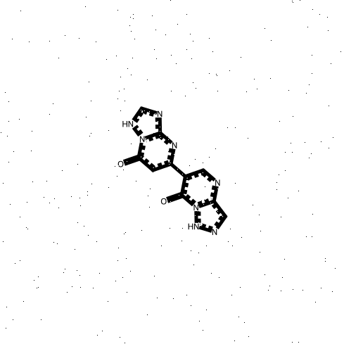 O=c1c(-c2[c]c(=O)n3[nH]cnc3n2)cnc2cn[nH]n12